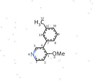 COc1ccncc1-c1cccc(C)c1